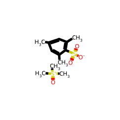 C[S+](C)(C)=O.Cc1cc(C)c(S(=O)(=O)[O-])c(C)c1